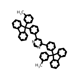 Cc1cccc(C2(c3cccc(-c4cc(-c5cccc(C6(c7cccc(C)c7)c7ccccc7-c7ccccc76)c5)ncn4)c3)c3ccccc3-c3ccccc32)c1